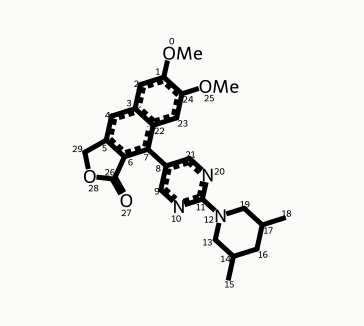 COc1cc2cc3c(c(-c4cnc(N5CC(C)CC(C)C5)nc4)c2cc1OC)C(=O)OC3